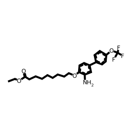 CCOC(=O)CCCCCCCCOc1ccc(-c2ccc(OC(F)(F)F)cc2)cc1N